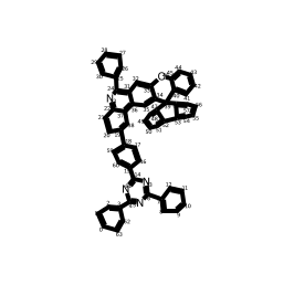 c1ccc(-c2nc(-c3ccccc3)nc(-c3ccc(-c4ccc5nc(-c6ccccc6)c6cc7c(cc6c5c4)C4(c5ccccc5O7)c5ccccc5-c5ccccc54)cc3)n2)cc1